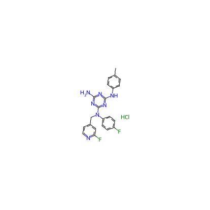 Cc1ccc(Nc2nc(N)nc(N(Cc3ccnc(F)c3)c3ccc(F)cc3)n2)cc1.Cl